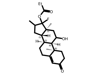 CCC(=O)OC1(F)C(C)C[C@H]2[C@@H]3CCC4=CC(=O)CC[C@]4(C)[C@@H]3C(O)C[C@@]21C